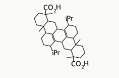 CC(C)C1CCC2C3=C1C1CC4C(C)(C(=O)O)CCCC4(C)C4CCC(C(C)C)C(=C14)C3CC1C(C)(C(=O)O)CCCC21C